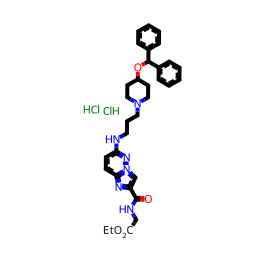 CCOC(=O)CNC(=O)c1cn2nc(NCCCN3CCC(OC(c4ccccc4)c4ccccc4)CC3)ccc2n1.Cl.Cl